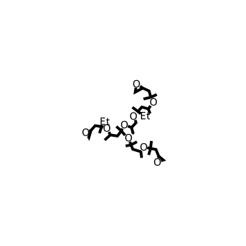 CCC(C)(CC(C)OC(C)(C)CC1CO1)OCC(COC(C)(C)CC(C)OC(C)(C)CC1CO1)OC(C)(C)CC(C)OC(C)(CC)CC1CO1